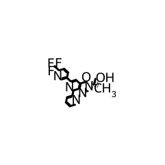 C[C@@H](CO)n1cnc2c(-c3ccccn3)nc(-c3ccc(C(F)(F)F)nc3)cc2c1=O